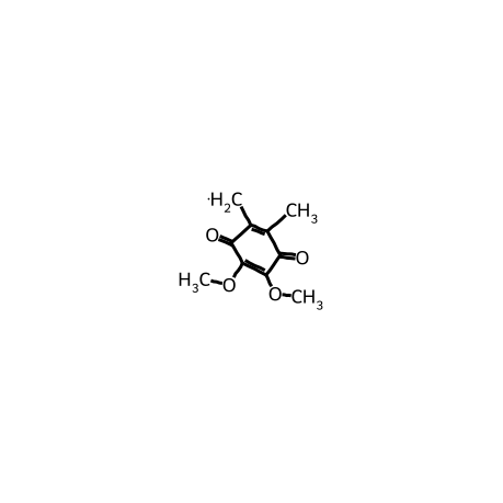 [CH2]C1=C(C)C(=O)C(OC)=C(OC)C1=O